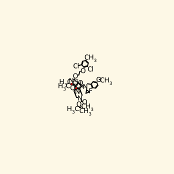 COc1ccc(F)c(CN(C(=O)C2=C(c3cnc(OCCOc4c(Cl)cc(C)cc4Cl)s3)CC3CN(C(=O)OC(C)(C)C)CC2N3C(=O)OC(C)(C)C)C2CC2)c1